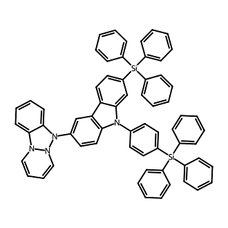 C1=CN2c3ccccc3N(c3ccc4c(c3)c3ccc([Si](c5ccccc5)(c5ccccc5)c5ccccc5)cc3n4-c3ccc([Si](c4ccccc4)(c4ccccc4)c4ccccc4)cc3)N2C=C1